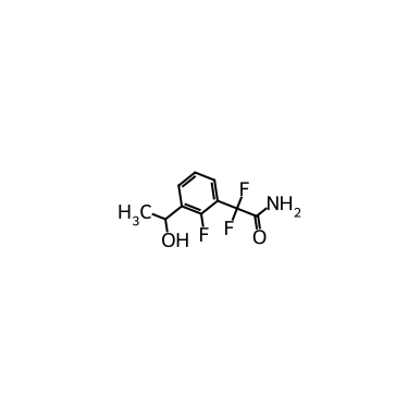 CC(O)c1cccc(C(F)(F)C(N)=O)c1F